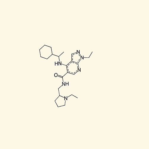 CCN1CCCC1CNC(=O)c1cnc2c(cnn2CC)c1NC(C)C1CCCCC1